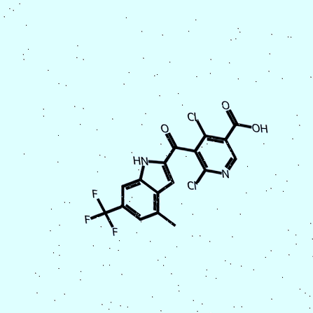 Cc1cc(C(F)(F)F)cc2[nH]c(C(=O)c3c(Cl)ncc(C(=O)O)c3Cl)cc12